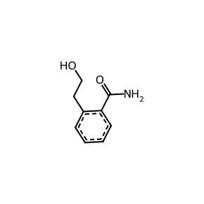 NC(=O)c1ccccc1CCO